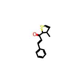 CC1C=CSC1C(=O)/C=C/c1ccccc1